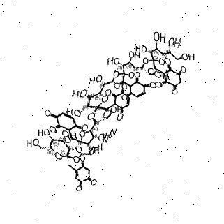 [N-]=[N+]=NCCCO[C@@]1(CC2=CC(=O)C(=O)CC2=O)O[C@H](CO)[C@@H](O)[C@H](O)[C@@H]1O[C@]1(C(=O)C2C(=O)C=CC(=O)C2=O)O[C@@H]([C@@H](CO)O[C@]2(C(=O)C3C(=O)C=CC(=O)C3=O)O[C@@H]([C@H](O)CO[C@]3(C(=O)C4C(=O)C=CC(=O)C4=O)O[C@@H]([C@@H](CO)O[C@]4(C(=O)C5C(=O)C(=O)CC(=O)C5=O)O[C@@H]([C@H](O)CO)[C@H](O)[C@H]4O)[C@H](O)[C@H]3O)[C@H](O)[C@H]2O)[C@H](O)[C@H]1O